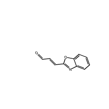 O=CC=Cc1nc2ccccc2o1